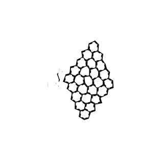 NCCN.c1cc2cc3cc4cc5ccc6cc7cc8cc9cccc%10cc%11cc%12cc%13ccc%14cc%15cc%16cc(c1)c2c1c3c2c4c3c5c6c4c7c5c8c(c9%10)c%11c6c%12c7c%13c%14c8c%15c(c%161)c2c1c3c4c(c56)c7c81